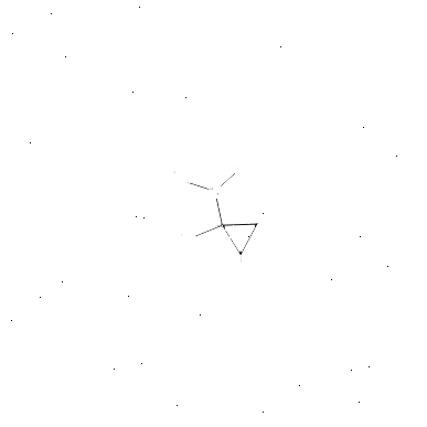 CC(=O)C1(N(C)C)CC1